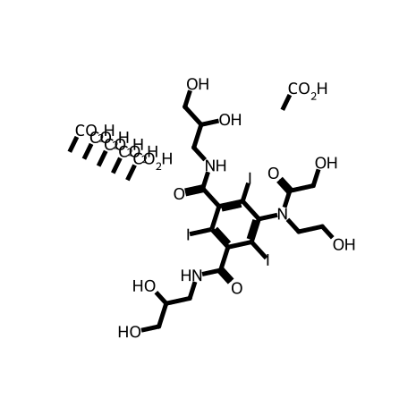 CC(=O)O.CC(=O)O.CC(=O)O.CC(=O)O.CC(=O)O.CC(=O)O.O=C(NCC(O)CO)c1c(I)c(C(=O)NCC(O)CO)c(I)c(N(CCO)C(=O)CO)c1I